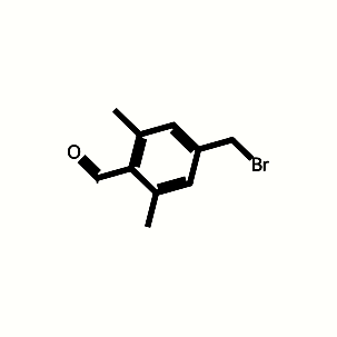 Cc1cc(CBr)cc(C)c1[C]=O